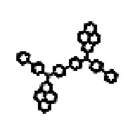 c1ccc(-c2ccc(N(c3ccc(-c4ccc(N(c5ccc(-c6ccccc6)cc5)c5cc6ccc7cccc8ccc(c5)c6c78)cc4)cc3)c3cc4ccc5cccc6ccc(c3)c4c56)cc2)cc1